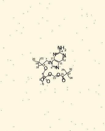 [CH2]OP(=O)(COC1(Cn2cnc3cnc(N)nc32)CC1(C)C)OCOC(=O)C(C)(C)C